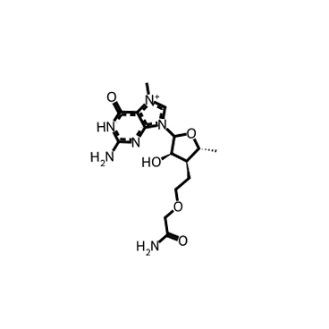 C[C@H]1OC(n2c[n+](C)c3c(=O)[nH]c(N)nc32)[C@H](O)[C@@H]1CCOCC(N)=O